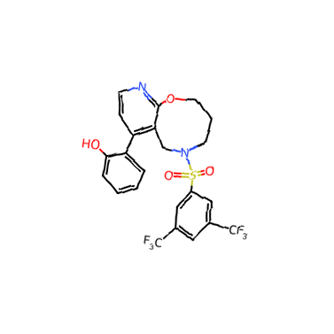 O=S(=O)(c1cc(C(F)(F)F)cc(C(F)(F)F)c1)N1CCCOc2nccc(-c3ccccc3O)c2C1